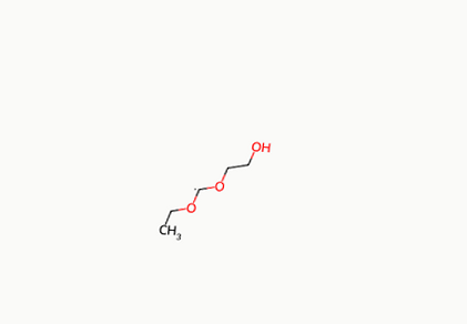 CCO[CH]OCCO